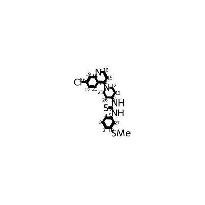 CSc1cccc(NC(=S)NC2CCN(c3ccnc4cc(Cl)ccc34)CC2)c1